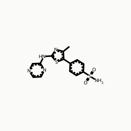 Cc1nc(Nc2cnccn2)sc1-c1ccc(S(N)(=O)=O)cc1